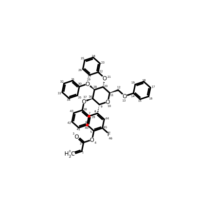 C=CC(=O)Oc1ccc([C@H]2O[C@H](COc3ccccc3)[C@@H](Oc3ccccc3)[C@H](Oc3ccccc3)[C@@H]2Oc2ccccc2)cc1F